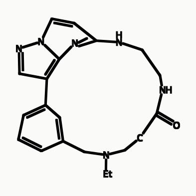 CCN1CCC(=O)NCCNc2ccn3ncc(c3n2)-c2cccc(c2)C1